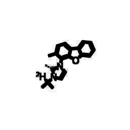 [2H]C(C)(C)N1C=CN(c2c(C)ccc3c2oc2ccccc23)[C@H]1C